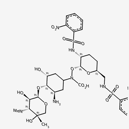 CN[C@@H]1[C@@H](O)[C@@H](O[C@H]2[C@H](N)CC(N(O[C@H]3O[C@H](CNS(=O)(=O)c4ccccc4[N+](=O)[O-])CC[C@H]3NS(=O)(=O)c3ccccc3[N+](=O)[O-])C(=O)O)C[C@H]2O)OC[C@]1(C)O